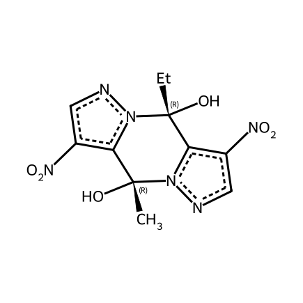 CC[C@@]1(O)c2c([N+](=O)[O-])cnn2[C@](C)(O)c2c([N+](=O)[O-])cnn21